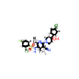 Cc1nc(N2CCC(O)(c3ccc(Cl)cc3)CC2)c(C#N)c(C)c1NS(=O)(=O)c1ccc(F)cc1Cl